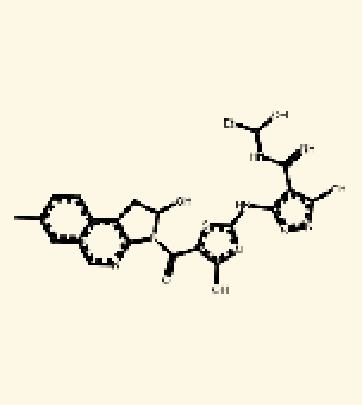 CCC(O)NC(=N)c1c(O)nsc1Nc1nc(O)c(C(=O)N2c3ncc4cc(C)ccc4c3CC2O)s1